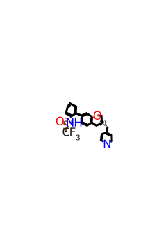 [O-][S+](Nc1ccccc1-c1ccc2c(c1)OC[C@H](Cc1ccncc1)C2)C(F)(F)F